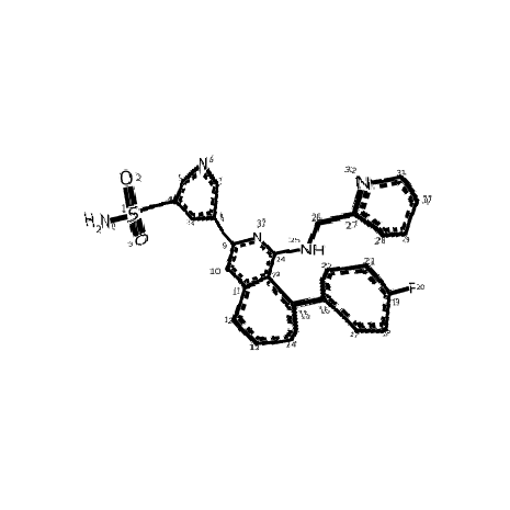 NS(=O)(=O)c1cncc(-c2cc3cccc(-c4ccc(F)cc4)c3c(NCc3ccccn3)n2)c1